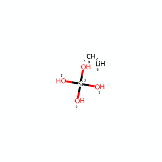 C.O[Si](O)(O)O.[LiH]